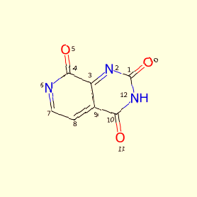 O=C1N=C2C(=O)N=CC=C2C(=O)N1